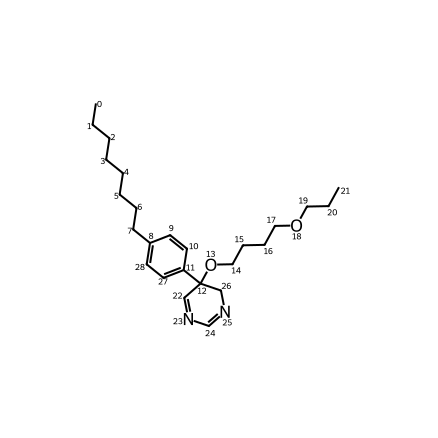 CCCCCCCCc1ccc(C2(OCCCCOCCC)C=NC=NC2)cc1